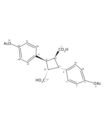 CC(=O)Oc1ccc([C@H]2[C@H](C(=O)O)[C@H](c3ccc(OC(C)=O)cc3)[C@H]2C(=O)O)cc1